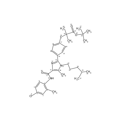 Cc1cc(Cl)ccc1NC(=O)c1nc(-c2ccc(SC(C)(C)C(=O)OC(C)(C)C)cc2)n(CCCC(C)C)c1C